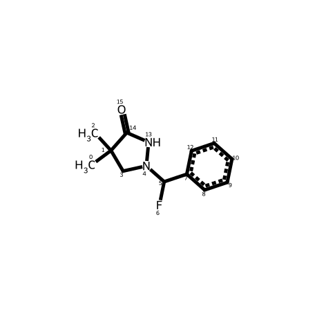 CC1(C)CN(C(F)c2ccccc2)NC1=O